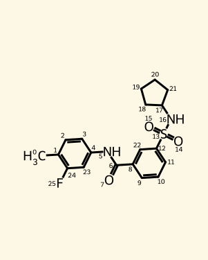 Cc1ccc(NC(=O)c2cccc(S(=O)(=O)NC3CCCC3)c2)cc1F